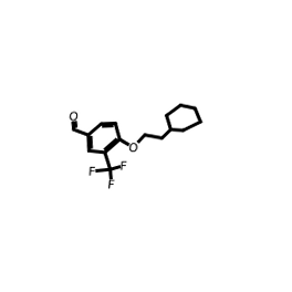 O=Cc1ccc(OCCC2CCCCC2)c(C(F)(F)F)c1